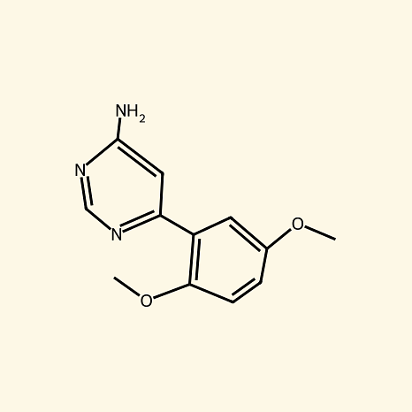 COc1ccc(OC)c(-c2cc(N)ncn2)c1